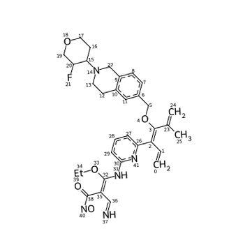 C=C/C(=C(/OCc1ccc2c(c1)CCN(C1CCOCC1F)C2)C(=C)C)c1cccc(N/C(OCC)=C(\C=N)C(=O)N=O)n1